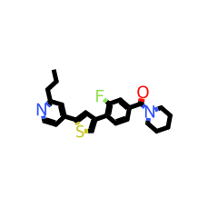 CCCc1cc(-c2cc(-c3ccc(C(=O)N4CCCCC4)cc3F)cs2)ccn1